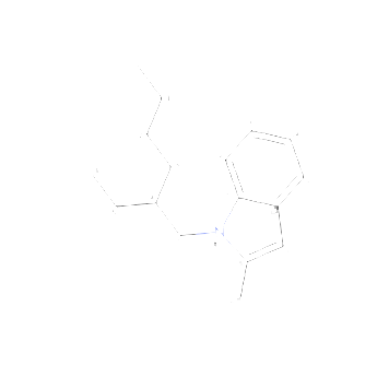 CCCCC(CC)Cn1c(C)cc2ccccc21